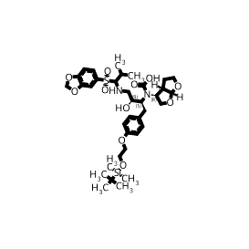 CC(C)C(NC[C@@H](O)[C@H](Cc1ccc(OCCO[Si](C)(C)C(C)(C)C)cc1)N(C(=O)O)[C@H]1CO[C@H]2OCC[C@H]21)S(=O)(=O)c1ccc2c(c1)OCO2